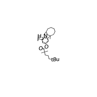 CC(C)(C)CCCC(C)(C)C(=O)Oc1cc(F)c2c(c1)C1(C)CCCCCC(C2)C1N